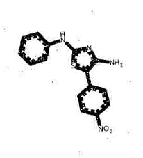 Nc1nc(Nc2ccccc2)sc1-c1ccc([N+](=O)[O-])cc1